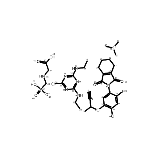 C#CC(C)Oc1cc(N2C(=O)C3=C(CCCC3)C2=O)c(F)cc1Cl.CCNc1nc(Cl)nc(NCC)n1.C[S+](C)C.O=C(O)CNCP(=O)([O-])O